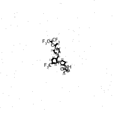 C=C(OC(C(F)(F)F)C(F)(F)F)N1CCN(Cc2ccc(C(F)(F)F)cc2N2CCC(NS(C)(=O)=O)C2)CC1